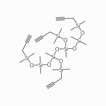 C#CC[Si](C)(C)O[Si](C)(C)O[Si](C)(O[Si](C)(C)CC#C)O[Si](C)(O[Si](C)(C)CC#C)O[Si](C)(C)O[Si](C)(C)CC#C